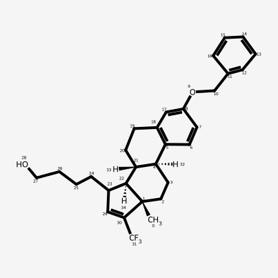 C[C@]12CC[C@@H]3c4ccc(OCc5ccccc5)cc4CC[C@H]3[C@@H]1C(CCCCO)C=C2C(F)(F)F